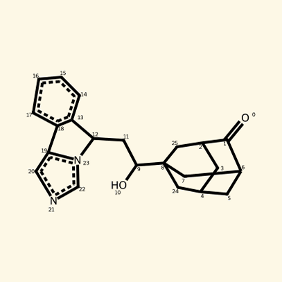 O=C1C2CC3CC1CC(C(O)CC1c4ccccc4-c4cncn41)(C3)C2